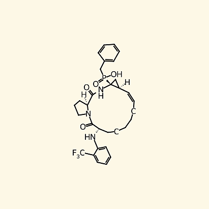 O=C1N[C@]2(P(=O)(O)Cc3ccccc3)C[C@H]2/C=C\CCCCC[C@H](Nc2ccccc2C(F)(F)F)C(=O)N2CCC[C@@H]12